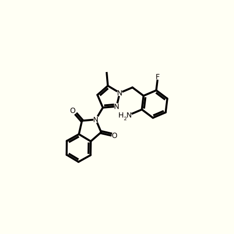 Cc1cc(N2C(=O)c3ccccc3C2=O)nn1Cc1c(N)cccc1F